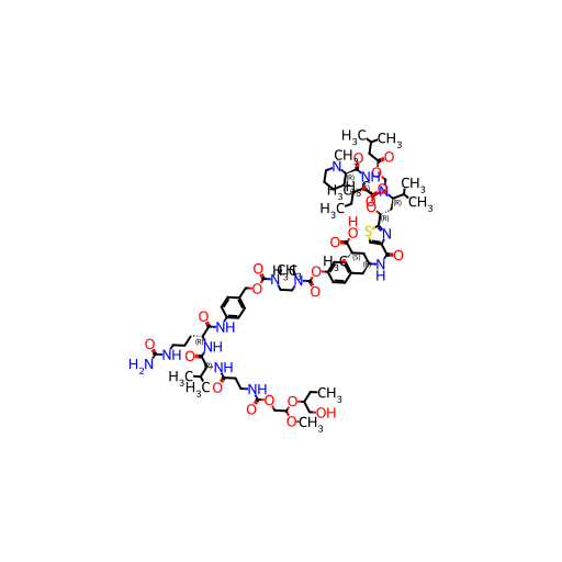 CCC(CO)OC(COC(=O)NCCC(=O)N[C@@H](C(=O)N[C@H](CCCNC(N)=O)C(=O)Nc1ccc(COC(=O)N(C)CCN(C)C(=O)Oc2ccc(C[C@@H](C[C@H](C)C(=O)O)NC(=O)c3csc([C@@H](C[C@H](C(C)C)N(COC(=O)CC(C)C)C(=O)[C@@H](NC(=O)[C@H]4CCCCN4C)[C@@H](C)CC)OC(C)=O)n3)cc2)cc1)C(C)C)OC